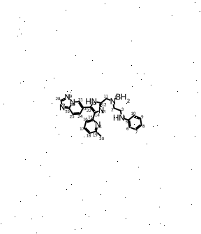 BN(CCNc1ccccc1)Cc1nc(-c2cccc(C)n2)c(-c2ccc3ncnn3c2)[nH]1